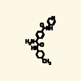 CC1CCC(NC(=O)C(N)c2ccc(C(=O)Nc3ccncc3)cc2)CC1